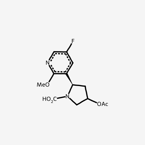 COc1ncc(F)cc1[C@H]1CC(OC(C)=O)CN1C(=O)O